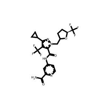 NC(=O)c1cc(NC(=O)c2c(C(F)(F)F)c(C3CC3)nn2CC2CC[C@@H](C(F)(F)F)O2)ccn1